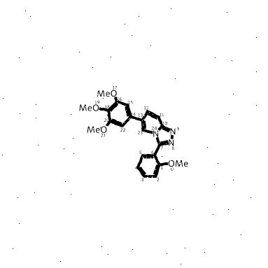 COc1ccccc1-c1nnc2ccc(-c3cc(OC)c(OC)c(OC)c3)cn12